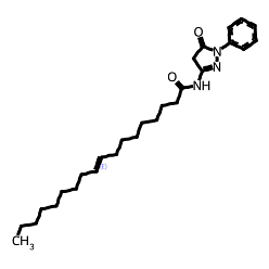 CCCCCCCC/C=C/CCCCCCCC(=O)NC1=NN(c2ccccc2)C(=O)C1